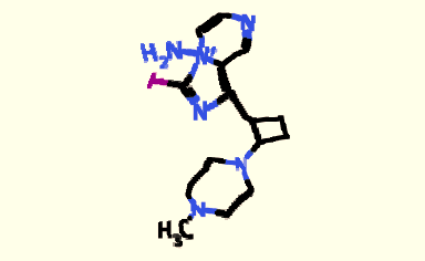 CN1CCN(C2CCC2C2=C3C=NC=C[N+]3(N)C(I)=N2)CC1